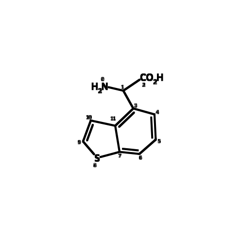 NC(C(=O)O)c1cccc2sccc12